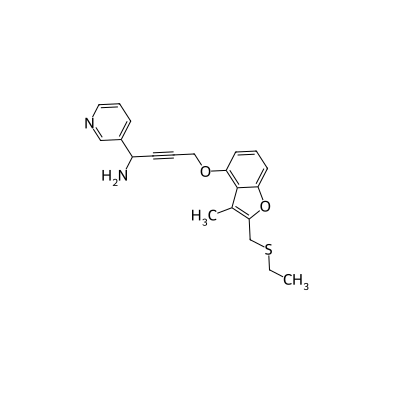 CCSCc1oc2cccc(OCC#CC(N)c3cccnc3)c2c1C